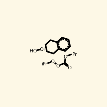 CC(C)OOC(=O)OC(C)C.OO.c1ccc2c(c1)CCCC2